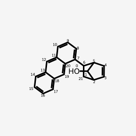 OC1C2C=CC1C(c1cccc3cc4ccccc4cc13)C2